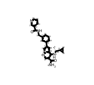 C[C@@H](Nc1c(C(N)=O)cnn2cc(-c3cccc(CNC(=O)c4cccnc4)c3)cc12)C1CC1